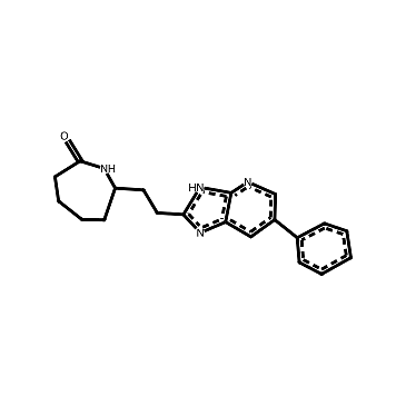 O=C1CCCCC(CCc2nc3cc(-c4ccccc4)cnc3[nH]2)N1